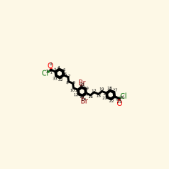 O=C(Cl)c1ccc(CCCCc2cc(Br)c(CCCCc3ccc(C(=O)Cl)cc3)cc2Br)cc1